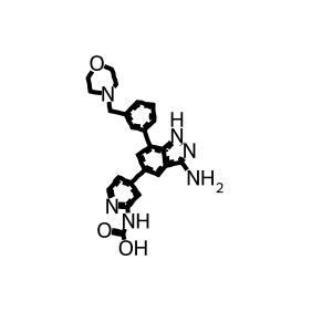 Nc1n[nH]c2c(-c3cccc(CN4CCOCC4)c3)cc(-c3ccnc(NC(=O)O)c3)cc12